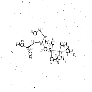 CC(C)(C)[Si](C)(C)OC1CCO[C@@H]1C(=O)O